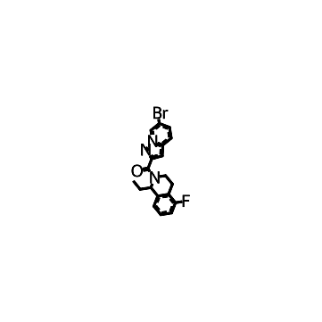 CCC1c2cccc(F)c2CCN1C(=O)c1cc2ccc(Br)cn2n1